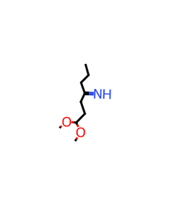 CCCC(=N)CCC(OC)OC